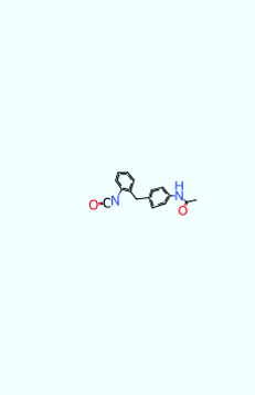 CC(=O)Nc1ccc(Cc2ccccc2N=C=O)cc1